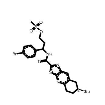 CC(C)(C)[C@H]1CCc2nc3sc(C(=O)NC(CCOS(C)(=O)=O)c4ccc(Br)cc4)nc3cc2C1